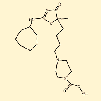 CC(C)(C)OC(=O)N1CCN(CCCCC2(C)SC(NC3CCCCCC3)=NC2=O)CC1